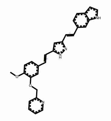 COc1ccc(/C=C/c2cc(/C=C/c3ccc4cc[nH]c4c3)n[nH]2)cc1OCc1ccccn1